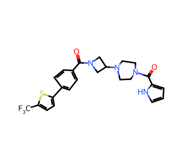 O=C(c1ccc(-c2ccc(C(F)(F)F)s2)cc1)N1CC(N2CCN(C(=O)c3ccc[nH]3)CC2)C1